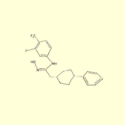 O/N=C(/C[C@H]1CC[C@@H](c2ccccc2)CC1)Nc1ccc(C(F)(F)F)c(F)c1